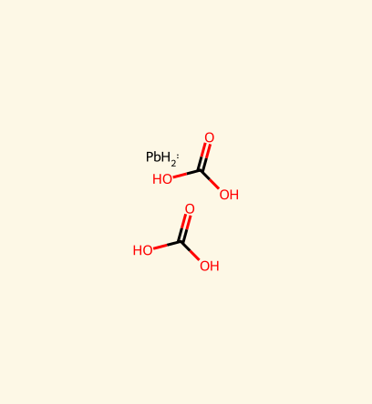 O=C(O)O.O=C(O)O.[PbH2]